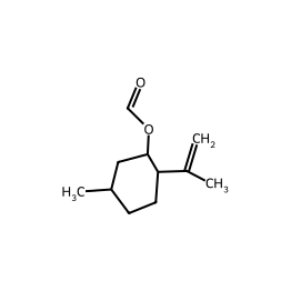 C=C(C)C1CCC(C)CC1OC=O